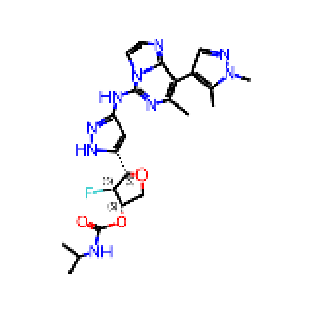 Cc1nc(Nc2cc([C@@H]3OC[C@H](OC(=O)NC(C)C)[C@H]3F)[nH]n2)n2ccnc2c1-c1cnn(C)c1C